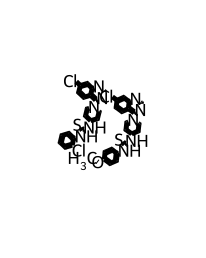 COc1ccc(NC(=S)NC2CCN(c3ncnc4cc(Cl)ccc34)CC2)cc1.S=C(Nc1ccccc1Cl)NC1CCN(c2ncnc3cc(Cl)ccc23)CC1